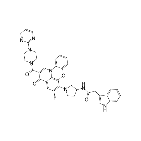 O=C(Cc1c[nH]c2ccccc12)NC1CCN(c2c(F)cc3c(=O)c(C(=O)N4CCN(c5ncccn5)CC4)cn4c3c2Oc2ccccc2-4)C1